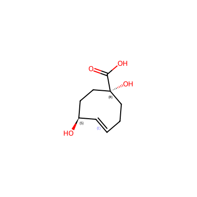 O=C(O)[C@@]1(O)CC/C=C/[C@@H](O)CC1